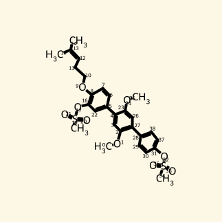 COc1cc(-c2ccc(OCCC=C(C)C)c(OS(C)(=O)=O)c2)c(OC)cc1-c1ccc(OS(C)(=O)=O)cc1